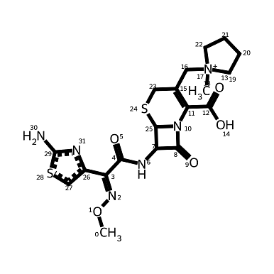 CON=C(C(=O)NC1C(=O)N2C(C(=O)O)=C(C[N+]3(C)CCCC3)CSC12)c1csc(N)n1